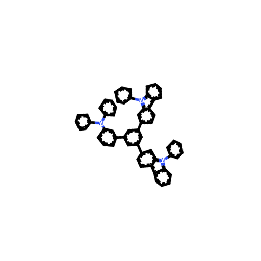 c1ccc(N(c2ccccc2)c2cccc(-c3cc(-c4ccc5c6ccccc6n(-c6ccccc6)c5c4)cc(-c4ccc5c6ccccc6n(-c6ccccc6)c5c4)c3)c2)cc1